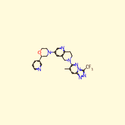 Cc1cc2nnc(C(F)(F)F)n2nc1N1CCc2ncc(N3CCOC(c4cccnc4)C3)cc2C1